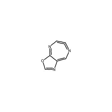 C1=CN=c2ocnc2=CN=1